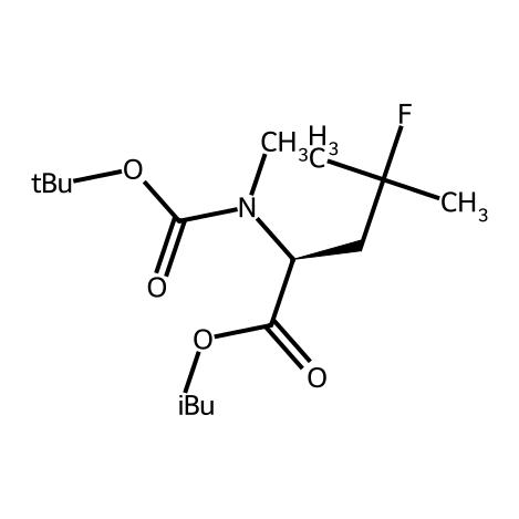 CCC(C)OC(=O)[C@H](CC(C)(C)F)N(C)C(=O)OC(C)(C)C